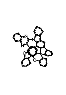 c1ccc2c(c1)Oc1ccccc1C21c2ccccc2-c2cc3c4ccccc4n(-c4nc5ccccc5nc4-c4cccc5c4oc4ccccc45)c3cc21